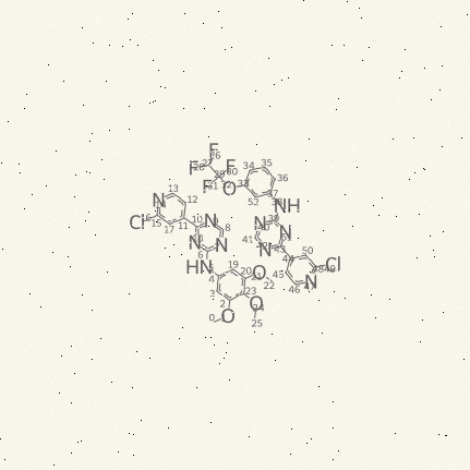 COc1cc(Nc2ncnc(-c3ccnc(Cl)c3)n2)cc(OC)c1OC.FC(F)C(F)(F)Oc1cccc(Nc2ncnc(-c3ccnc(Cl)c3)n2)c1